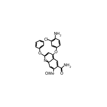 COc1cc2nc(Oc3ccccc3)cc(Oc3ccc(N)c(Cl)c3)c2cc1C(N)=O